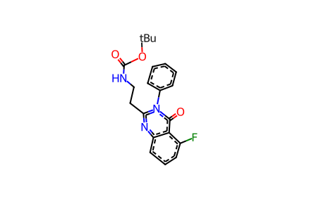 CC(C)(C)OC(=O)NCCc1nc2cccc(F)c2c(=O)n1-c1ccccc1